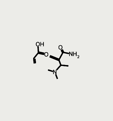 C=C(C(N)=O)C(C)N(C)C.C=CC(=O)O